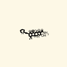 CN(C)c1cc(C#Cc2ccccn2)c(O)c2c1C[C@H]1C[C@H]3CC(O)=C(C(N)=O)C(=O)[C@@]3(O)C(O)=C1C2=O